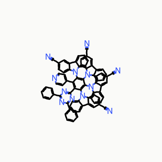 N#Cc1ccc2c(c1)c1ccccc1n2-c1c(-c2ccncc2)c(-c2nc(-c3ccccc3)nc(-c3ccccc3)n2)c(-n2c3ccccc3c3cc(C#N)ccc32)c(-n2c3ccccc3c3cc(C#N)ccc32)c1-n1c2ccccc2c2cc(C#N)ccc21